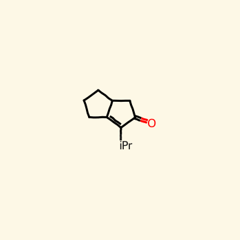 CC(C)C1=C2CCCC2CC1=O